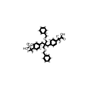 O=C(O)C(F)(F)c1ccc(CC(COCc2ccccc2)(COCc2ccccc2)Cc2ccc(C(F)(F)P(=O)(O)O)cc2)cc1